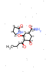 CCCC(=O)C1C(=O)CC(C(N)=O)CC1=O.O=C1CCCN1